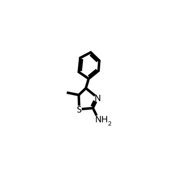 CC1SC(N)=NC1c1ccccc1